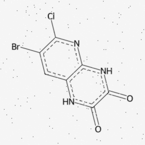 O=c1[nH]c2cc(Br)c(Cl)nc2[nH]c1=O